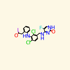 O=C(I)Cc1ccccc1Nc1c(Cl)ccc(CNc2nc(=O)[nH]cc2F)c1Cl